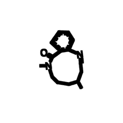 CC1C/C=N\c2ccccc2C(=O)N(C)CCC1